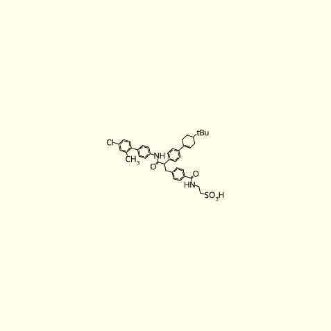 Cc1cc(Cl)ccc1-c1ccc(NC(=O)C(Cc2ccc(C(=O)NCCS(=O)(=O)O)cc2)c2ccc(C3=CCC(C(C)(C)C)CC3)cc2)cc1